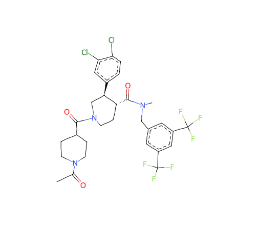 CC(=O)N1CCC(C(=O)N2CC[C@@H](C(=O)N(C)Cc3cc(C(F)(F)F)cc(C(F)(F)F)c3)[C@H](c3ccc(Cl)c(Cl)c3)C2)CC1